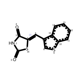 O=C1NC(=O)/C(=C/c2csc3ccccc23)S1